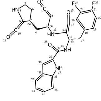 O=C=C[C@H](C[C@@H]1CCNC1=C=O)NC(=C=O)[C@H](Cc1ccc(F)c(F)c1)NC(=O)c1cc2ccccc2[nH]1